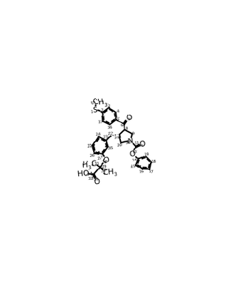 CSc1ccc(C(=O)[C@H]2CN(C(=O)Oc3ccccc3)C[C@@H]2Cc2cccc(OC(C)(C)C(=O)O)c2)cc1